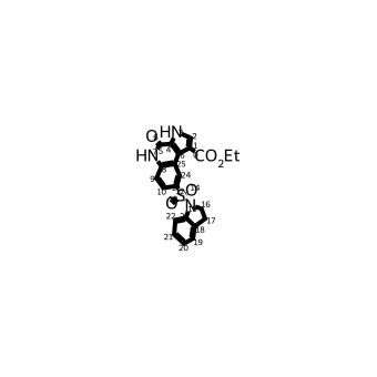 CCOC(=O)c1c[nH]c2c(=O)[nH]c3ccc(S(=O)(=O)N4CCc5ccccc54)cc3c12